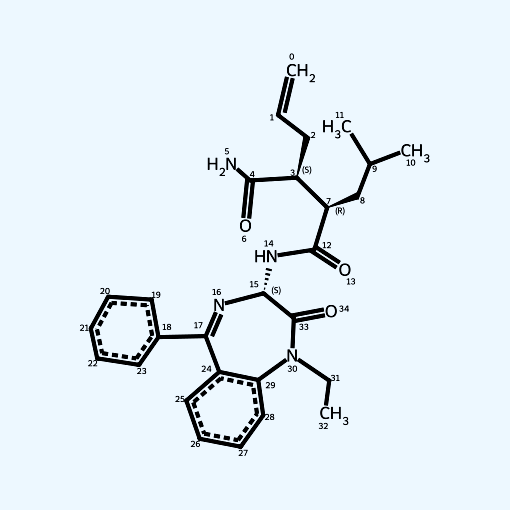 C=CC[C@H](C(N)=O)[C@@H](CC(C)C)C(=O)N[C@H]1N=C(c2ccccc2)c2ccccc2N(CC)C1=O